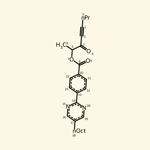 CCCC#CC(=O)C(C)OC(=O)c1ccc(-c2ncc(CCCCCCCC)cn2)cc1